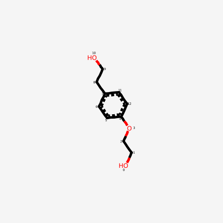 OCCOc1ccc(CCO)cc1